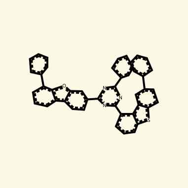 c1ccc(-c2ccc3sc4cccc(-c5nc(-c6ccccc6)nc(-c6ccc7c(c6)oc6c(-c8ccccc8)cccc67)n5)c4c3c2)cc1